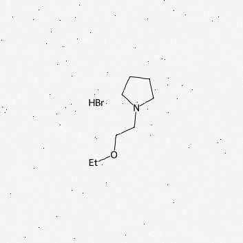 Br.CCOCCN1CCCC1